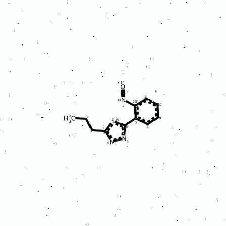 CCCc1nnc(-c2ccccc2N=O)s1